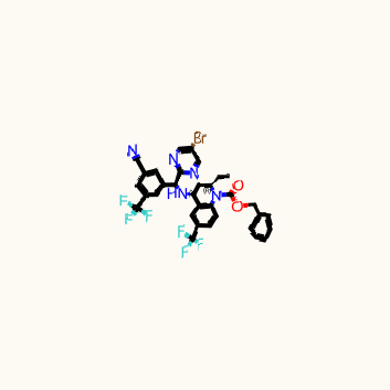 CC[C@@H]1C[C@H](NC(c2cc(C#N)cc(C(F)(F)F)c2)c2ncc(Br)cn2)c2cc(C(F)(F)F)ccc2N1C(=O)OCc1ccccc1